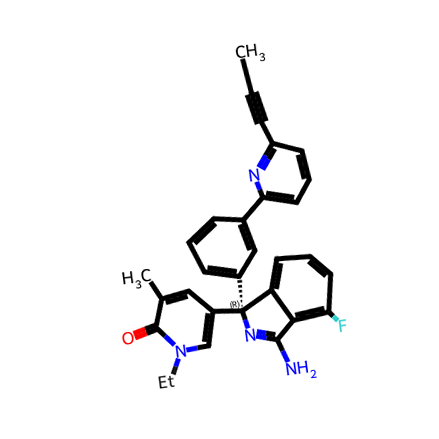 CC#Cc1cccc(-c2cccc([C@@]3(c4cc(C)c(=O)n(CC)c4)N=C(N)c4c(F)cccc43)c2)n1